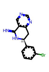 N=C1N[C@H](c2cccc(Br)c2)Cc2ncncc21